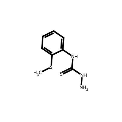 CSc1ccccc1NC(=S)NN